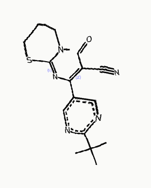 CN1CCCS/C1=N/C(=C(/C#N)C=O)c1cnc(C(C)(C)C)nc1